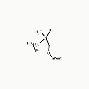 CC(C)C.CCCCCOC[N+](C)(C)CC